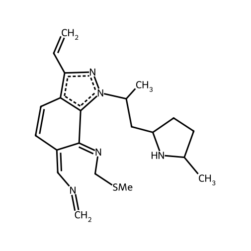 C=Cc1nn(C(C)CC2CCC(C)N2)c2c1C=CC(=C/N=C)/C2=N\CSC